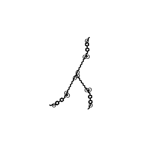 CCCOc1ccc(-c2ccc(/C=C/C(=O)OCCCCCCCCCCOCC(COCCCCCCCCCCOC(=O)/C=C/c3ccc(-c4ccc(OCCC)cc4)cc3)OCCCCCCCCCCOC(=O)/C=C/c3ccc(-c4ccc(OCCC)cc4)cc3)cc2)cc1